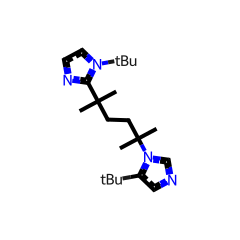 CC(C)(C)c1cncn1C(C)(C)CCC(C)(C)c1nccn1C(C)(C)C